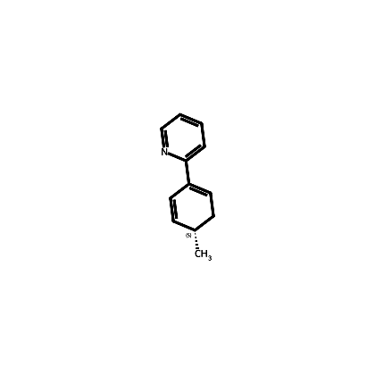 C[C@@H]1C=CC(c2ccccn2)=CC1